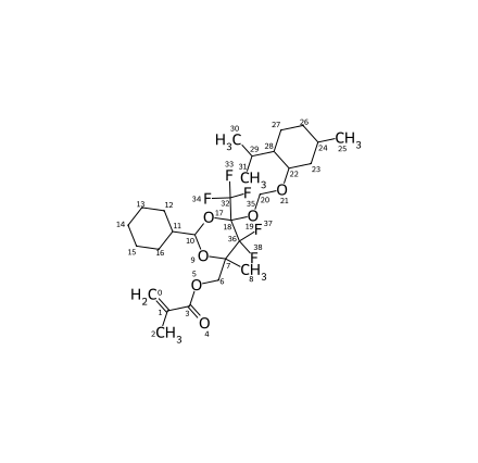 C=C(C)C(=O)OCC1(C)OC(C2CCCCC2)OC(OCOC2CC(C)CCC2C(C)C)(C(F)(F)F)C1(F)F